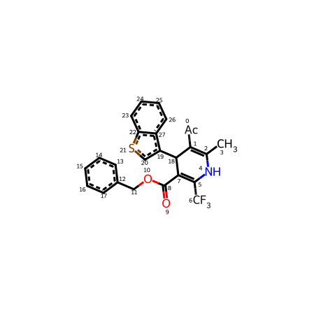 CC(=O)C1=C(C)NC(C(F)(F)F)=C(C(=O)OCc2ccccc2)C1c1csc2ccccc12